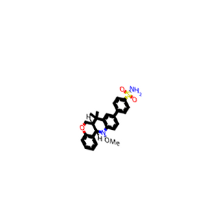 CON1c2ccc(-c3ccc(S(N)(=O)=O)cc3)cc2C(C)(C)[C@@H]2COc3ccccc3[C@H]21